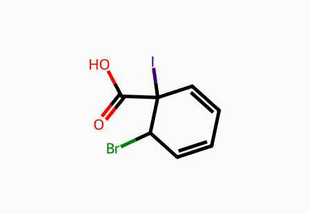 O=C(O)C1(I)C=CC=CC1Br